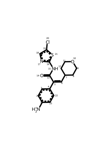 Nc1ccc(C(=CC2CCOCC2)C(=O)Nc2ncc(Cl)s2)cc1